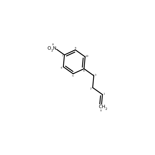 C=CC[CH]c1ccc([N+](=O)[O-])cc1